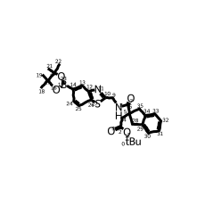 CC(C)(C)OC(=O)CC1(C(=O)NCc2nc3cc(B4OC(C)(C)C(C)(C)O4)ccc3s2)Cc2ccccc2C1